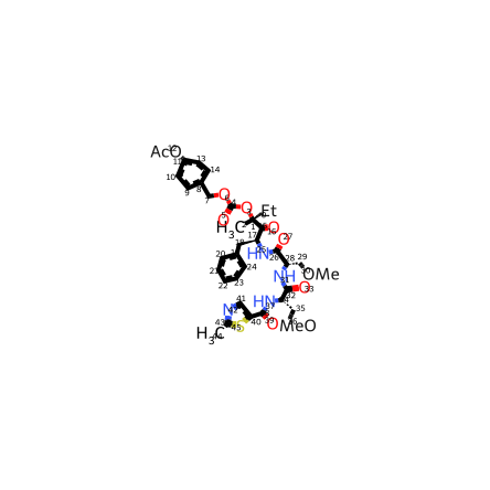 CC[C@@](C)(OC(=O)OCc1ccc(OC(C)=O)cc1)C(=O)[C@H](Cc1ccccc1)NC(=O)[C@H](COC)NC(=O)[C@H](COC)NC(=O)c1cnc(C)s1